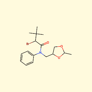 CC1OCC(CN(C(=O)C(Br)C(C)(C)C)c2ccccc2)O1